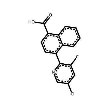 O=C(O)c1ccc(-c2ncc(Cl)cc2Cl)c2ccccc12